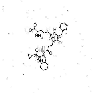 NC(CCNC(=O)N[C@@H](Cc1ccccc1)C(=O)NCCC(=O)N[C@@H](CC1CCCCC1)[C@@H](O)[C@@H](O)C1CC1)C(=O)O